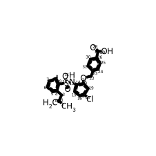 C=C(C)Cc1ccccc1S(=O)(=O)Nc1ccc(Cl)cc1OCc1ccc(C(=O)O)cc1